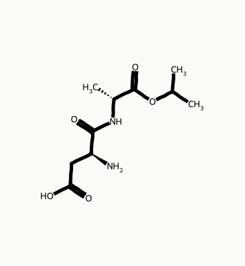 CC(C)OC(=O)[C@@H](C)NC(=O)[C@@H](N)CC(=O)O